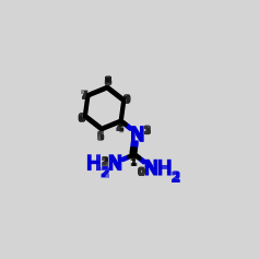 NC(N)=NC1CCCCC1